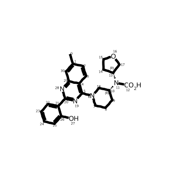 Cc1ccc2c(N3CCC[C@@H](N(C(=O)O)[C@@H]4CCOC4)C3)nc(-c3ccccc3O)nc2c1